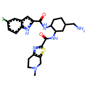 CN1CCc2nc(C(=O)NC3CC(CN)CCC3NC(=O)c3cc4cc(Cl)ccc4[nH]3)sc2C1